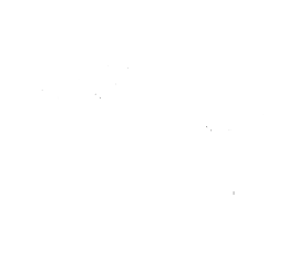 CC(C)(C)OC(=O)NC1c2cc(OCC3(NC(=O)OC(C)(C)C)CC3)cc(Cl)c2C[C@H]1CO